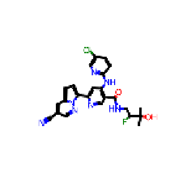 CC(C)(O)C(F)CNC(=O)c1cnc(-c2ccc3cc(C#N)cnn23)cc1Nc1ccc(Cl)cn1